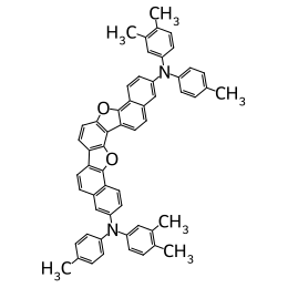 Cc1ccc(N(c2ccc(C)c(C)c2)c2ccc3c(ccc4c5ccc6oc7c8ccc(N(c9ccc(C)cc9)c9ccc(C)c(C)c9)cc8ccc7c6c5oc34)c2)cc1